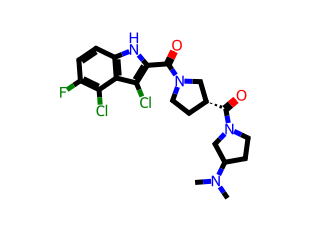 CN(C)C1CCN(C(=O)[C@@H]2CCN(C(=O)c3[nH]c4ccc(F)c(Cl)c4c3Cl)C2)C1